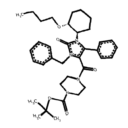 CCCCO[C@@H]1CCCC[C@H]1n1c(-c2ccccc2)c(C(=O)N2CCN(C(=O)OC(C)(C)C)CC2)n(Cc2ccccc2)c1=O